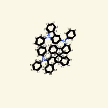 c1ccc(N(c2ccc3c(c2)c2ccccc2n3-c2ccccc2)c2cccc3c2-c2ccccc2C32c3ccccc3-c3c2cc(N(c2ccccc2)c2ccccc2)c2ccccc32)cc1